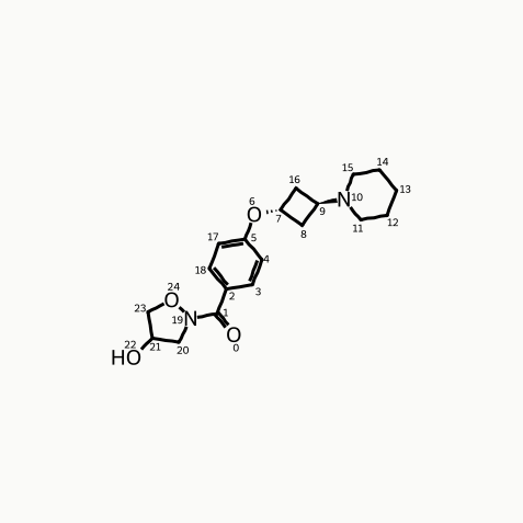 O=C(c1ccc(O[C@H]2C[C@H](N3CCCCC3)C2)cc1)N1CC(O)CO1